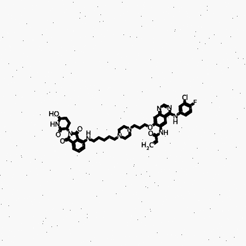 C=CC(=O)Nc1cc2c(Nc3ccc(F)c(Cl)c3)ncnc2cc1OCCCN1CCN(CCCCCNc2cccc3c2C(=O)N(C2CCC(O)NC2=O)C3=O)CC1